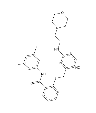 Cc1cc(C)cc(NC(=O)c2cccnc2SCc2ccnc(NCCN3CCOCC3)n2)c1.Cl